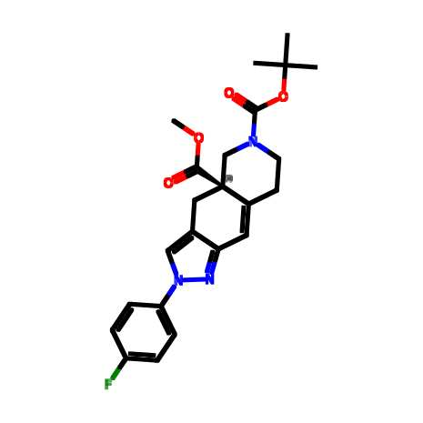 COC(=O)[C@]12Cc3cn(-c4ccc(F)cc4)nc3C=C1CCN(C(=O)OC(C)(C)C)C2